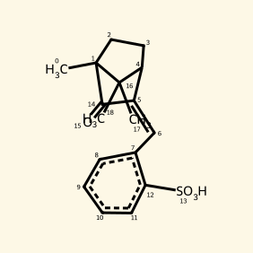 CC12CCC(C(=Cc3ccccc3S(=O)(=O)O)C1=O)C2(C)C